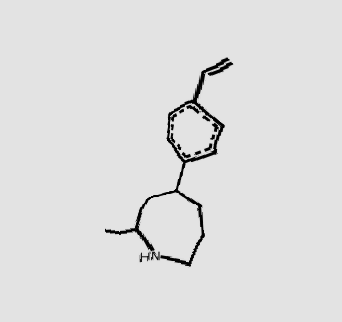 C=Cc1ccc(C2CCCNC(C)C2)cc1